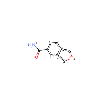 NC(=O)c1ccc2cocc2c1